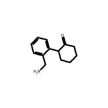 NCc1ccccc1C1CCCCC1=O